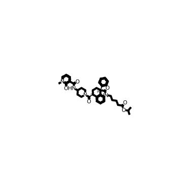 CC(C)OC(=O)CCCCNC(=O)[C@@]1(c2ccccc2)CC[C@H](C(=O)N2CCC(NC(=O)c3cccn(C)c3=O)CC2)c2ccccc21